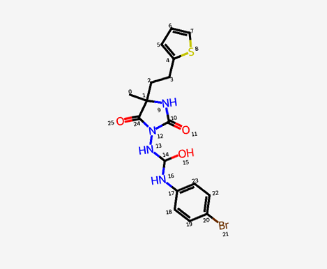 CC1(CCc2cccs2)NC(=O)N(NC(O)Nc2ccc(Br)cc2)C1=O